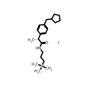 C[C@@H](C(=O)NCCC[N+](C)(C)C)c1ccc(CC2CCCC2)cc1.[I-]